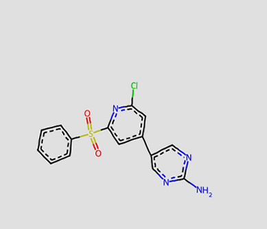 Nc1ncc(-c2cc(Cl)nc(S(=O)(=O)c3ccccc3)c2)cn1